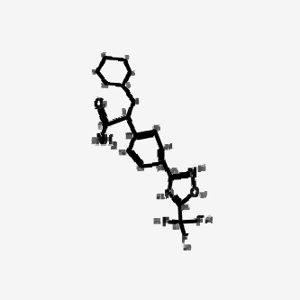 NC(=O)C(CC1CCCCC1)c1ccc(-c2noc(C(F)(F)F)n2)cc1